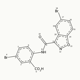 O=C(O)c1cc(Br)ccc1NC(=O)c1noc2ccc(Br)cc12